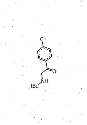 CC(C)(C)NCC(=O)c1ccc(Cl)cc1